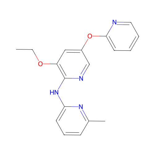 CCOc1cc(Oc2ccccn2)cnc1Nc1cccc(C)n1